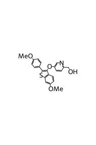 COc1ccc(-c2sc3cc(OC)ccc3c2Oc2ccc(CO)nc2)cc1